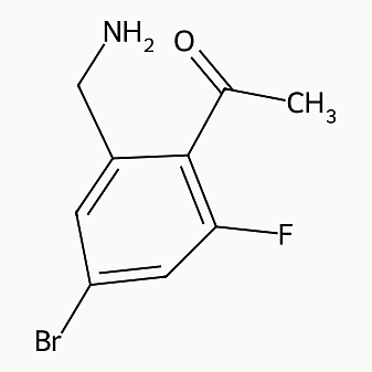 CC(=O)c1c(F)cc(Br)cc1CN